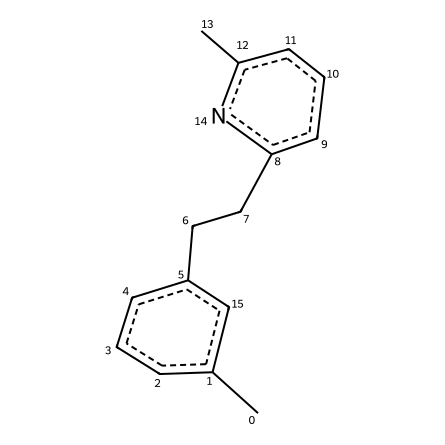 Cc1cccc(CCc2cccc(C)n2)c1